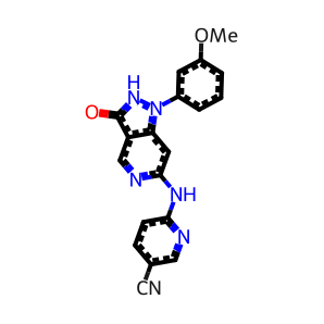 COc1cccc(-n2[nH]c(=O)c3cnc(Nc4ccc(C#N)cn4)cc32)c1